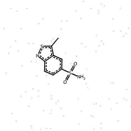 Cc1snc2ccc(S(N)(=O)=O)cc12